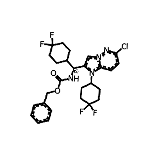 O=C(N[C@H](c1c[n+]2nc(Cl)ccc2n1C1CCC(F)(F)CC1)C1CCC(F)(F)CC1)OCc1ccccc1